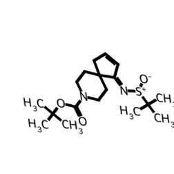 CC(C)(C)OC(=O)N1CCC2(CC=C/C2=N\[S+]([O-])C(C)(C)C)CC1